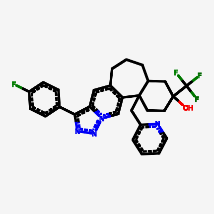 OC1(C(F)(F)F)CCC2(Cc3ccccn3)c3cn4nnc(-c5ccc(F)cc5)c4cc3CCCC2C1